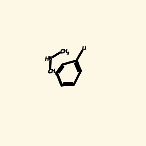 CNC.[Li][c]1ccccc1